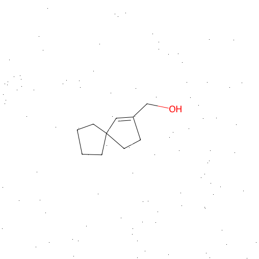 OCC1=CC2(CCCC2)CC1